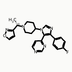 C[C@@H](c1ccon1)N1CCC(n2cnc(-c3ccc(F)cc3)c2-c2ccncn2)CC1